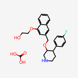 O=C(O)O.OCCOc1cc(COC2CNCCC2c2ccc(F)cc2)cc2ccccc12